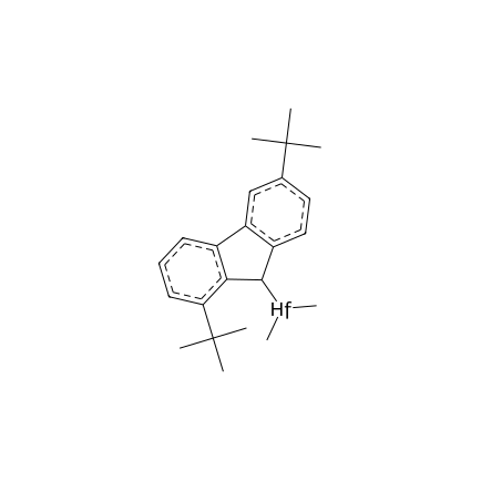 [CH3][Hf]([CH3])[CH]1c2ccc(C(C)(C)C)cc2-c2cccc(C(C)(C)C)c21